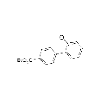 CCOC(=O)c1ccc(-c2cccc[n+]2[O-])cc1